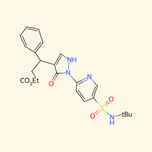 CCOC(=O)CC(c1ccccc1)c1c[nH]n(-c2ccc(S(=O)(=O)NC(C)(C)C)cn2)c1=O